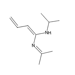 C=C/C=C(\N=C(C)C)NC(C)C